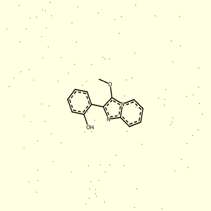 COc1c(-c2ccccc2O)nc2ccccn12